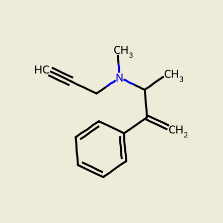 C#CCN(C)C(C)C(=C)c1ccccc1